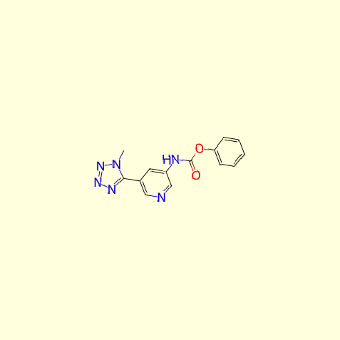 Cn1nnnc1-c1cncc(NC(=O)Oc2ccccc2)c1